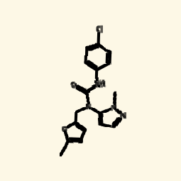 Cc1ccc(CN(C(=O)Nc2ccc(Cl)cc2)c2ccnn2C)o1